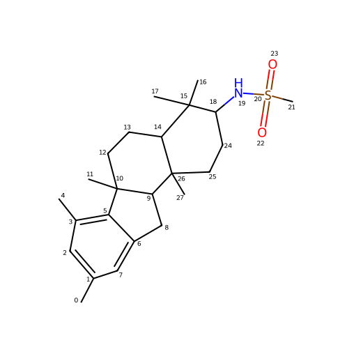 Cc1cc(C)c2c(c1)CC1C2(C)CCC2C(C)(C)C(NS(C)(=O)=O)CCC12C